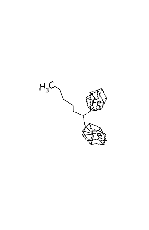 CCCCCC([C]12[CH]3[CH]4[CH]5[CH]1[Fe]45321678[CH]2[CH]1[CH]6[CH]7[CH]28)[C]12[CH]3[CH]4[CH]5[CH]1[Fe]45321678[CH]2[CH]1[CH]6[CH]7[CH]28